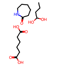 CCCC(O)O.O=C(O)CCCCC(=O)O.O=C1CCCCCN1